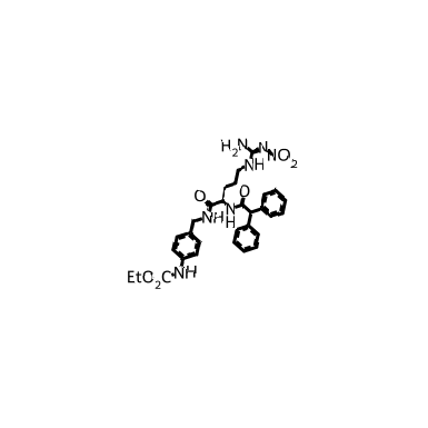 CCOC(=O)Nc1ccc(CNC(=O)[C@@H](CCCN/C(N)=N\[N+](=O)[O-])NC(=O)C(c2ccccc2)c2ccccc2)cc1